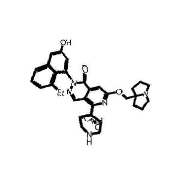 CCc1cccc2cc(O)cc(-n3ncc4c(C5CC6CNCC5CN6)nc(OCC56CCCN5CCC6)cc4c3=O)c12